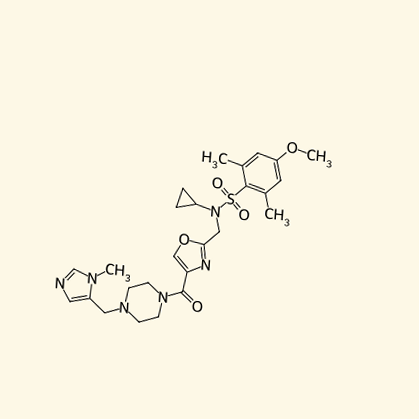 COc1cc(C)c(S(=O)(=O)N(Cc2nc(C(=O)N3CCN(Cc4cncn4C)CC3)co2)C2CC2)c(C)c1